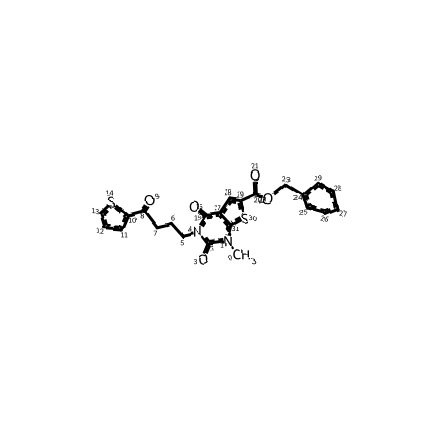 Cn1c(=O)n(CCCC(=O)c2cccs2)c(=O)c2cc(C(=O)OCc3ccccc3)sc21